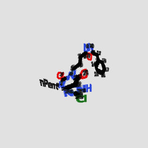 CCCCCn1c(=O)n(CCCc2nnc(Cc3ccccc3)o2)c(=O)c2[nH]c(Cl)nc21